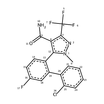 Cn1nc(C(F)(F)F)c(C(N)=O)c1-c1ccc(F)cc1-c1ccccc1Cl